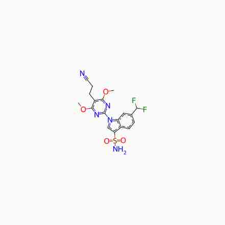 COc1nc(-n2cc(S(N)(=O)=O)c3ccc(C(F)F)cc32)nc(OC)c1CCC#N